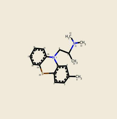 Cc1ccc2c(c1)N(CC(C)N(C)C)c1ccccc1S2